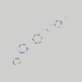 Cn1nc(C(C)(C)C)cc1NC(=O)Nc1ccc(Oc2ccnc(-c3cocn3)n2)cc1F